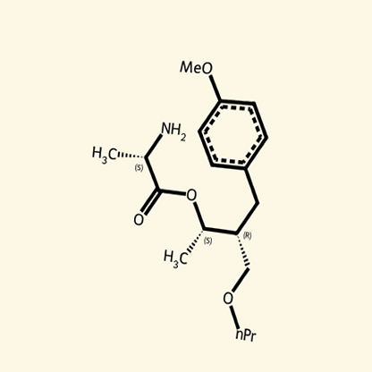 CCCOC[C@@H](Cc1ccc(OC)cc1)[C@H](C)OC(=O)[C@H](C)N